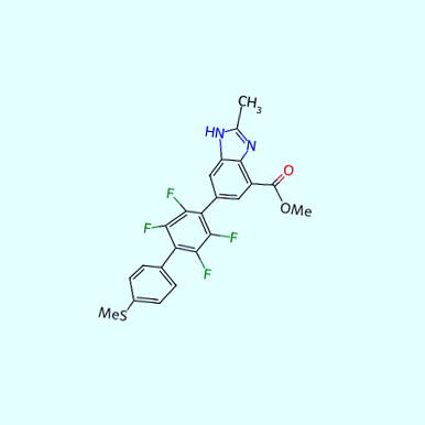 COC(=O)c1cc(-c2c(F)c(F)c(-c3ccc(SC)cc3)c(F)c2F)cc2[nH]c(C)nc12